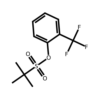 CC(C)(C)S(=O)(=O)Oc1ccccc1C(F)(F)F